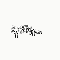 CC[C@@H]1C[C@H]1NC1COC2(CCN(CC(=O)NCC#N)CC2)C1